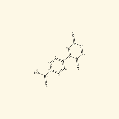 O=C1C=CC(=O)C(c2ccc(C(=O)O)cc2)=C1